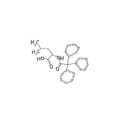 CC(C)CC(NC(=O)C(c1ccccc1)(c1ccccc1)c1ccccc1)C(=O)O